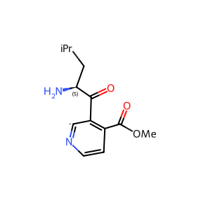 COC(=O)c1ccn[c]c1C(=O)[C@@H](N)CC(C)C